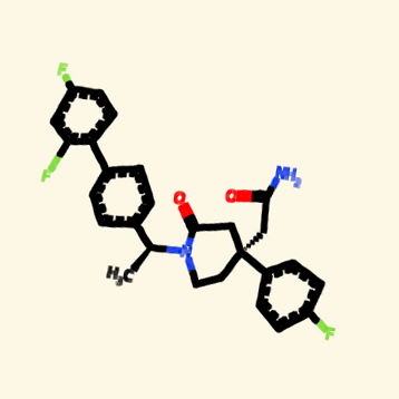 C[C@@H](c1ccc(-c2ccc(F)cc2F)cc1)N1CC[C@](CC(N)=O)(c2ccc(F)cc2)CC1=O